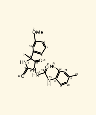 COc1cccc(C2(C)NC(=O)N(NC(=O)Nc3ccc(C)cc3C#N)C2=O)c1